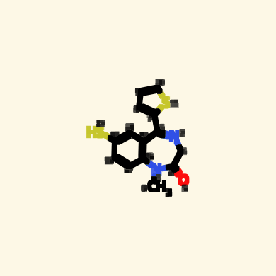 CN1C(=O)CN=C(c2cccs2)c2cc(S)ccc21